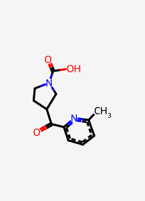 Cc1cccc(C(=O)C2CCN(C(=O)O)C2)n1